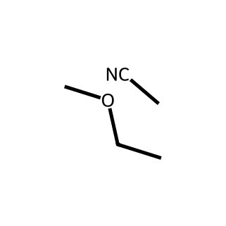 CC#N.CCOC